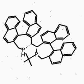 CC(C)(C)P1Cc2ccc3ccccc3c2-c2c(ccc3ccccc23)[C@@H]1[C@@H]1PCc2ccc3ccccc3c2-c2c1ccc1ccccc21